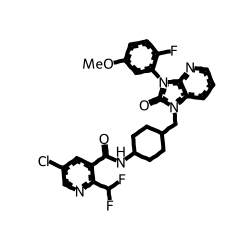 COc1ccc(F)c(-n2c(=O)n(CC3CCC(NC(=O)c4cc(Cl)cnc4C(F)F)CC3)c3cccnc32)c1